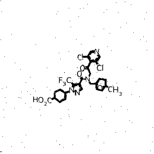 CC12CCC(CN(CC(=O)c3c(Cl)cncc3Cl)C(=O)c3cnn(C4CCC(C(=O)O)CC4)c3C(F)(F)F)(CC1)O2